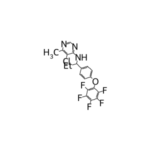 CCC(Nc1ncnc(C)c1Cl)c1ccc(Oc2c(F)c(F)c(F)c(F)c2F)cc1